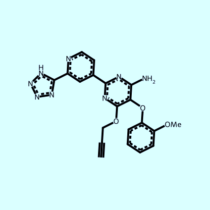 C#CCOc1nc(-c2ccnc(-c3nnn[nH]3)c2)nc(N)c1Oc1ccccc1OC